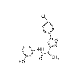 C=C(C(=O)Nc1cccc(O)c1)n1cc(-c2ccc(Cl)cc2)nn1